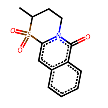 CC1CCn2c(cc3ccccc3c2=O)S1(=O)=O